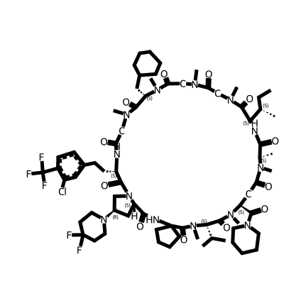 CC[C@H](C)[C@@H]1NC(=O)[C@H](C)N(C)C(=O)C[C@@H](C(=O)N2CCCCC2)N(C)C(=O)[C@H](C(C)C)N(C)C(=O)C2(CCCC2)NC(=O)[C@@H]2C[C@@H](N3CCC(F)(F)CC3)CN2C(=O)[C@H](CCc2ccc(C(F)(F)F)c(Cl)c2)NC(=O)CN(C)C(=O)[C@H](CC2CCCCC2)N(C)C(=O)CN(C)C(=O)CN(C)C1=O